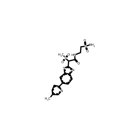 Cc1ccc(-c2ccc3nc(C(C(=O)NCCS(N)(=O)=O)S(C)(=O)=O)sc3c2)nc1